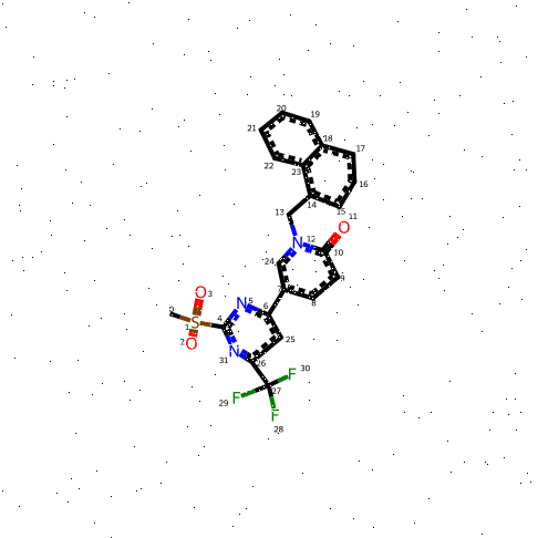 CS(=O)(=O)c1nc(-c2ccc(=O)n(Cc3cccc4ccccc34)c2)cc(C(F)(F)F)n1